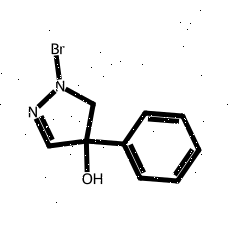 OC1(c2ccccc2)C=NN(Br)C1